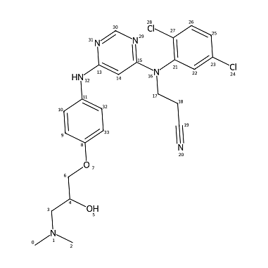 CN(C)CC(O)COc1ccc(Nc2cc(N(CCC#N)c3cc(Cl)ccc3Cl)ncn2)cc1